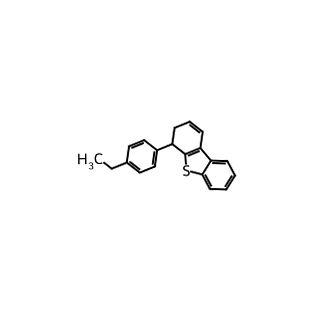 CCc1ccc(C2CC=Cc3c2sc2ccccc32)cc1